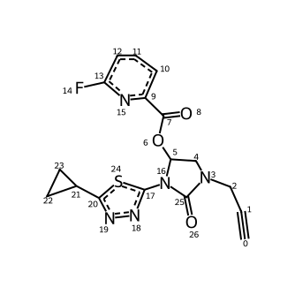 C#CCN1CC(OC(=O)c2cccc(F)n2)N(c2nnc(C3CC3)s2)C1=O